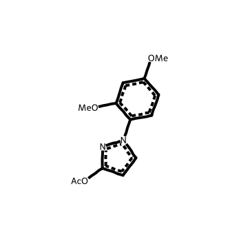 COc1ccc(-n2ccc(OC(C)=O)n2)c(OC)c1